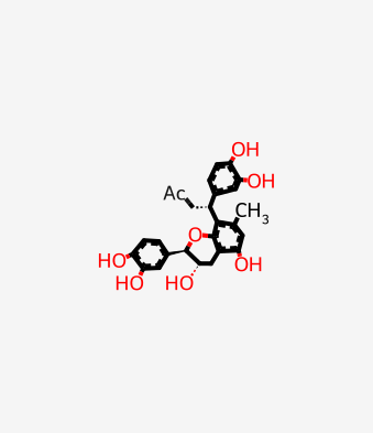 CC(=O)C[C@H](c1ccc(O)c(O)c1)c1c(C)cc(O)c2c1O[C@H](c1ccc(O)c(O)c1)[C@@H](O)C2